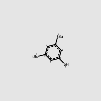 CC(C)(C)c1cc(S)cc(C(C)(C)C)c1